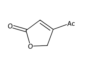 CC(=O)C1=CC(=O)OC1